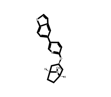 CN1[C@@H]2CC[C@H]1C[C@@H](Oc1ccc(-c3ccc4sccc4c3)cn1)C2